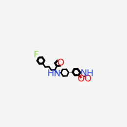 O=c1[nH]c2ccc([C@H]3CC[C@H](NC(CCCc4ccc(F)cc4)c4ccoc4)CC3)cc2o1